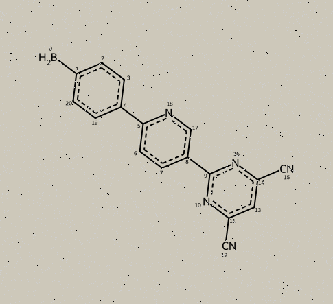 Bc1ccc(-c2ccc(-c3nc(C#N)cc(C#N)n3)cn2)cc1